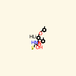 CSCC[C@H](NC(=O)c1ccc(COCc2cccc(C)c2)cc1-c1ccccc1C)C(=O)O.[LiH]